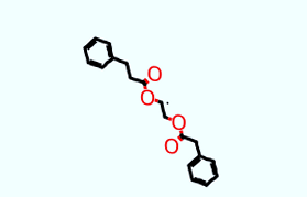 O=C(CCc1ccccc1)O[CH]COC(=O)Cc1ccccc1